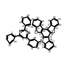 c1ccc(-c2cc(-c3cccc(-n4c5ccccc5c5c6oc7ccccc7c6c6c7ccccc7oc6c54)c3)nc(-c3ccccc3)n2)cc1